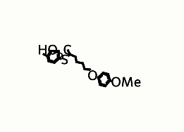 COc1ccc(OCCCCCC(Sc2ccc(C)cc2)C(=O)O)cc1